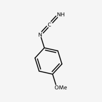 COc1ccc(N=C=N)cc1